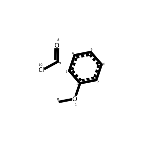 COc1ccccc1.O=CCl